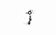 O=C(COP(=O)(O)O)[C@@H](O)[C@H](O)CO[C@H]1O[C@H](CO)[C@@H](O)[C@H](O)[C@@H]1O